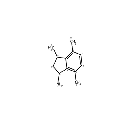 Cc1ccc(C)c2c1C(C)CC2N